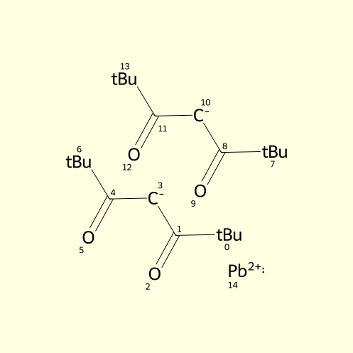 CC(C)(C)C(=O)[CH-]C(=O)C(C)(C)C.CC(C)(C)C(=O)[CH-]C(=O)C(C)(C)C.[Pb+2]